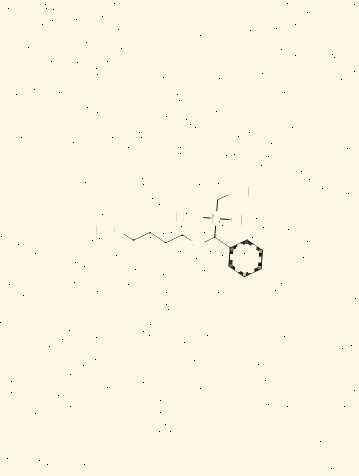 CCCCCOC(c1ccccc1)[N+](C)(C)CC.[Cl-]